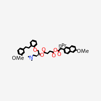 CCC[C@H](C(=O)OC(=O)CCC(=O)O[C@@H](CCN(C)C)COc1ccccc1CCc1cccc(OC)c1)c1ccc2cc(OC)ccc2c1